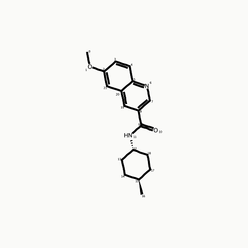 COc1ccc2ncc(C(=O)N[C@H]3CC[C@H](C)CC3)cc2c1